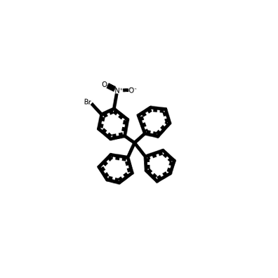 O=[N+]([O-])c1cc(C(c2ccccc2)(c2ccccc2)c2ccccc2)ccc1Br